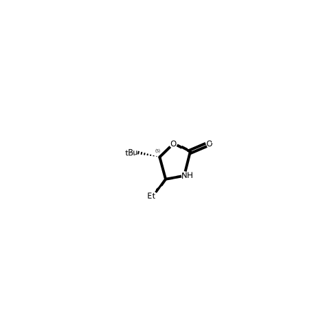 CCC1NC(=O)O[C@H]1C(C)(C)C